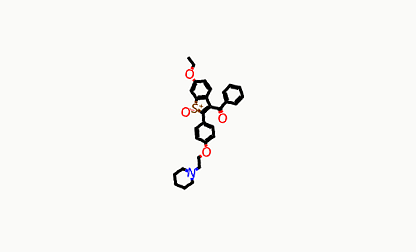 CCOc1ccc2c(C(=O)c3ccccc3)c(-c3ccc(OCCN4CCCCC4)cc3)[s+]([O-])c2c1